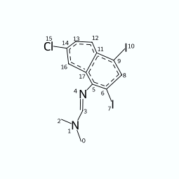 CN(C)/C=N/c1c(I)cc(I)c2ccc(Cl)cc12